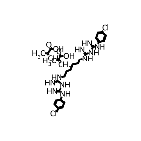 CC(C)C(=O)O.CC(C)C(=O)O.N=C(NCCCCCCNC(=N)NC(=N)Nc1ccc(Cl)cc1)NC(=N)Nc1ccc(Cl)cc1